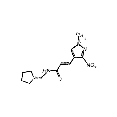 Cn1cc(C=CC(=O)NCN2CCCC2)c([N+](=O)[O-])n1